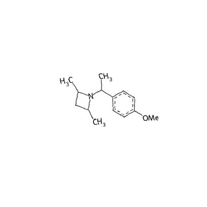 COc1ccc(C(C)N2C(C)CC2C)cc1